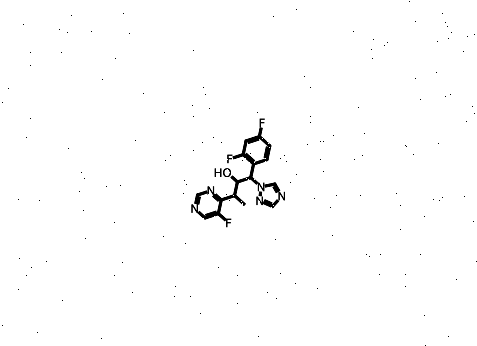 CC(c1ncncc1F)C(O)C(c1ccc(F)cc1F)n1cncn1